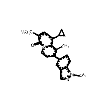 Cc1c(-c2ccc3c(cnn3C)c2)ccn2c(=O)c(C(=O)O)cc(C3CC3)c12